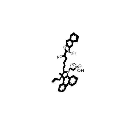 C=CCC1(C)C(/C=C/C=C/C(C#N)=C2/Oc3cc4ccccc4cc3N2CCC)=[N+](CCP(=O)(O)O)c2c1c1ccccc1c1ccccc21